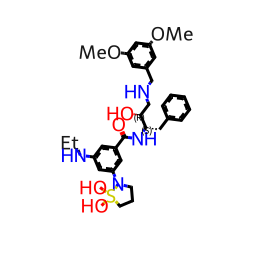 CCNc1cc(C(=O)N[C@@H](Cc2ccccc2)[C@H](O)CNCc2cc(OC)cc(OC)c2)cc(N2CCCS2(O)O)c1